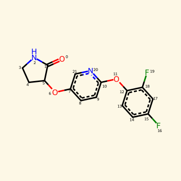 O=C1NCCC1Oc1ccc(Oc2ccc(F)cc2F)nc1